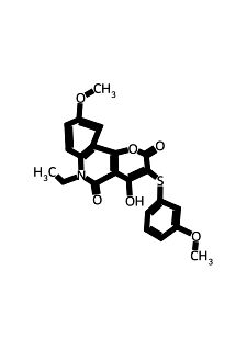 CCn1c(=O)c2c(O)c(Sc3cccc(OC)c3)c(=O)oc2c2cc(OC)ccc21